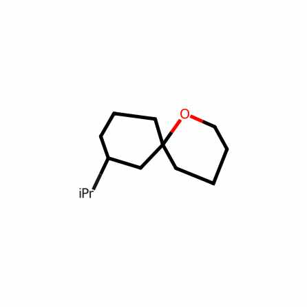 CC(C)C1CCCC2(CCCCO2)C1